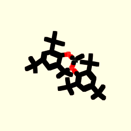 [CH3][Al]([O]c1c(C(C)(C)C)cc(C(C)(C)C)cc1C(C)(C)C)[O]c1c(C(C)(C)C)cc(C(C)(C)C)cc1C(C)(C)C